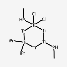 C[PH][Ti]1[Ti][Ti]([CH](C)C)([CH](C)C)[Ti][Ti]([Cl])([Cl])([PH]C)[Ti]1